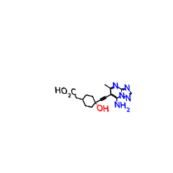 Cc1nc2ncnn2c(N)c1C#CC1(O)CCC(CC(=O)O)CC1